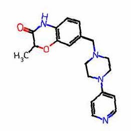 CC1Oc2cc(CN3CCN(c4ccncc4)CC3)ccc2NC1=O